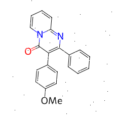 COc1ccc(-c2c(-c3ccccc3)nc3ccccn3c2=O)cc1